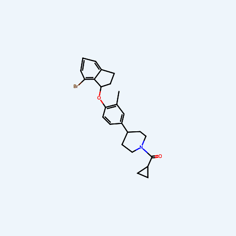 Cc1cc(C2CCN(C(=O)C3CC3)CC2)ccc1OC1CCc2cccc(Br)c21